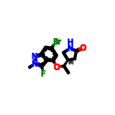 CC(Oc1cc(Br)cc2nn(C)c(F)c12)[C@H]1CNC(=O)C1